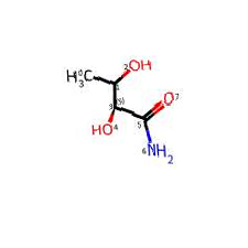 CC(O)[C@H](O)C(N)=O